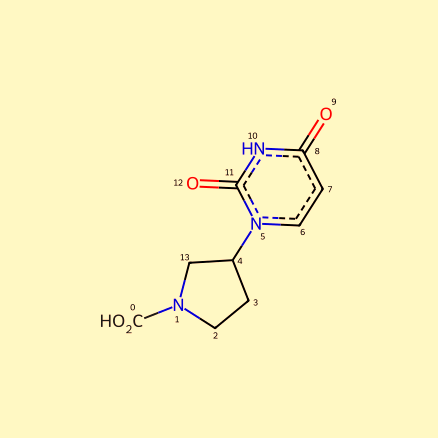 O=C(O)N1CCC(n2ccc(=O)[nH]c2=O)C1